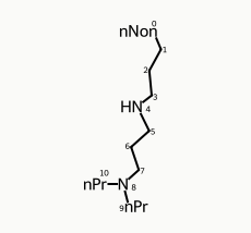 CCCCCCCCCCCCNCCCN(CCC)CCC